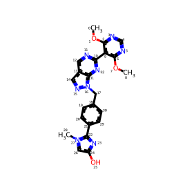 COc1ncnc(OC)c1-c1ncc2cnn(Cc3ccc(-c4nc(O)cn4C)cc3)c2n1